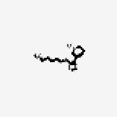 C=CCCCCSc1nsnc1C1=CCCN(C)C1